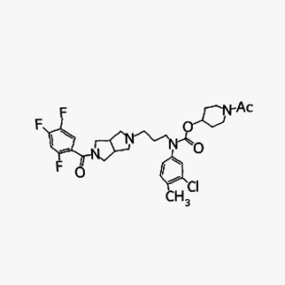 CC(=O)N1CCC(OC(=O)N(CCCN2CC3CN(C(=O)c4cc(F)c(F)cc4F)CC3C2)c2ccc(C)c(Cl)c2)CC1